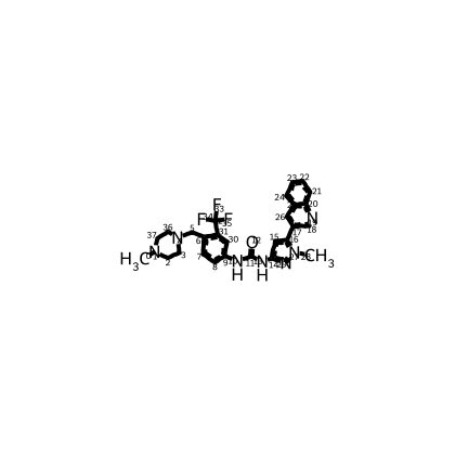 CN1CCN(Cc2ccc(NC(=O)Nc3cc(-c4cnc5ccccc5c4)n(C)n3)cc2C(F)(F)F)CC1